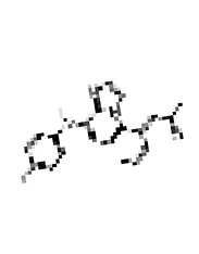 C/C=C\C(=C/C(C)=O)c1ccc(Nc2ccc(C)cc2)c2nccn12